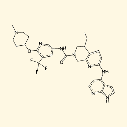 CCC1CN(C(=O)Nc2cnc(OC3CCN(C)CC3)c(C(F)(F)F)c2)Cc2nc(Nc3ccnc4[nH]ccc34)ccc21